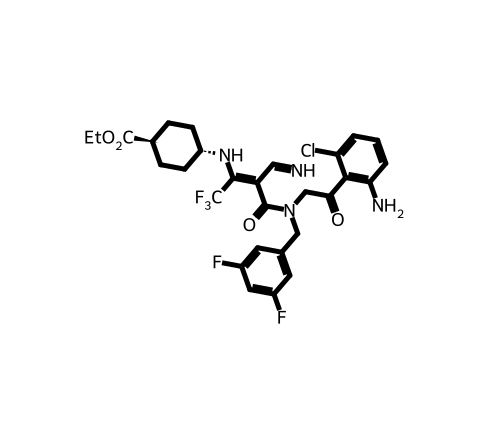 CCOC(=O)[C@H]1CC[C@H](N/C(=C(\C=N)C(=O)N(CC(=O)c2c(N)cccc2Cl)Cc2cc(F)cc(F)c2)C(F)(F)F)CC1